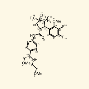 COCCN[C@H](COC)c1ccc(NC(=O)[C@@H]2O[C@@](C)(C(F)(F)F)[C@@H](C)[C@H]2c2ccc(F)c(F)c2OC)cn1